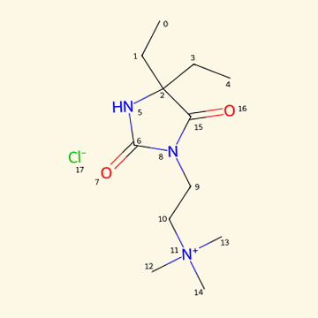 CCC1(CC)NC(=O)N(CC[N+](C)(C)C)C1=O.[Cl-]